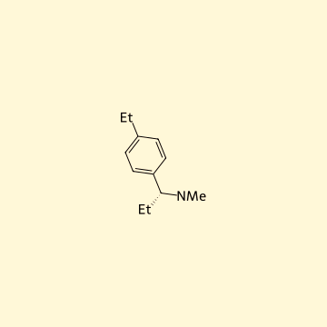 CCc1ccc([C@@H](CC)NC)cc1